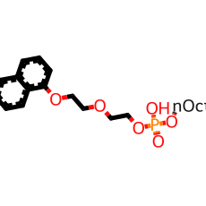 CCCCCCCCOP(=O)(O)OCCOCCOc1cccc2ccccc12